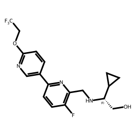 OC[C@H](NCc1nc(-c2ccc(OCC(F)(F)F)nc2)ccc1F)C1CC1